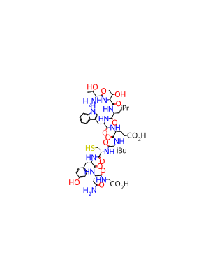 CC[C@H](C)[C@H](NC(=O)[C@H](CCC(=O)O)NC(=O)[C@H](Cc1c[nH]c2ccccc12)NC(=O)[C@H](CC(C)C)NC(=O)[C@@H](NC(=O)[C@@H](N)[C@@H](C)O)[C@@H](C)O)C(=O)N[C@@H](CS)C(=O)N[C@@H](Cc1ccc(O)cc1)C(=O)N[C@@H](CC(N)=O)C(=O)NCC(=O)O